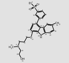 CCS(=O)(=O)c1cccc(-c2ccc(OCCCN(C)CCO)c3[nH]c4ncc(C)cc4c23)c1